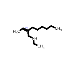 C/C=C(/CCCCCC)CPCC